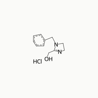 Cl.OCC1=NCCN1Cc1ccccc1